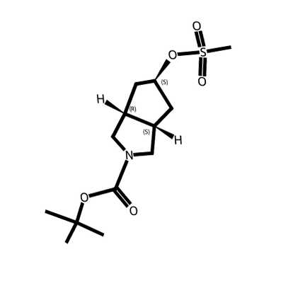 CC(C)(C)OC(=O)N1C[C@H]2C[C@H](OS(C)(=O)=O)C[C@H]2C1